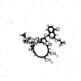 C[C@H]1CC/C=C\[C@@H]2C[C@@]2(C(=O)NS(=O)(=O)C2CC2)NC(=O)[C@@H]2C[C@@H](Oc3nc(OCC(F)F)cc4c(Cl)cccc34)CN2C(=O)C[C@H](C)C1